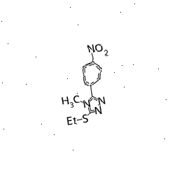 CCSc1nnc(-c2ccc([N+](=O)[O-])cc2)n1C